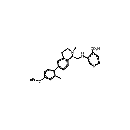 CCCOc1ccc(-c2ccc3c(c2)CCN(C)[C@H]3CNc2cnccc2C(=O)O)c(C)c1